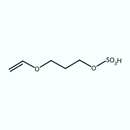 C=COCCCOS(=O)(=O)O